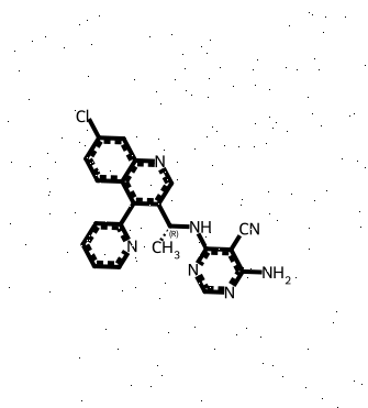 C[C@@H](Nc1ncnc(N)c1C#N)c1cnc2cc(Cl)ccc2c1-c1ccccn1